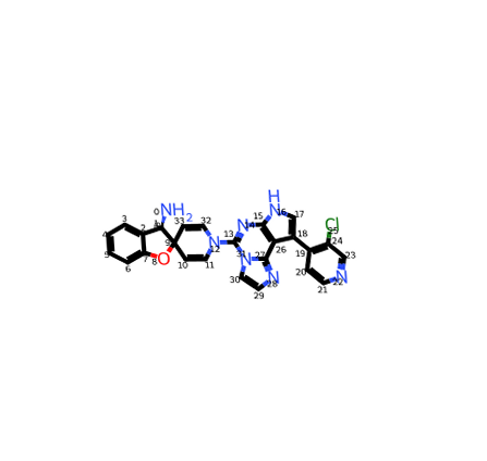 N[C@@H]1c2ccccc2OC12C=CN(c1nc3[nH]cc(-c4ccncc4Cl)c3c3nccn13)C=C2